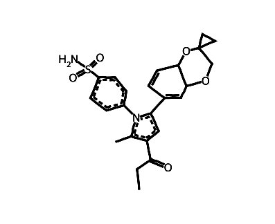 CCC(=O)c1cc(C2=CC3OCC4(CC4)OC3C=C2)n(-c2ccc(S(N)(=O)=O)cc2)c1C